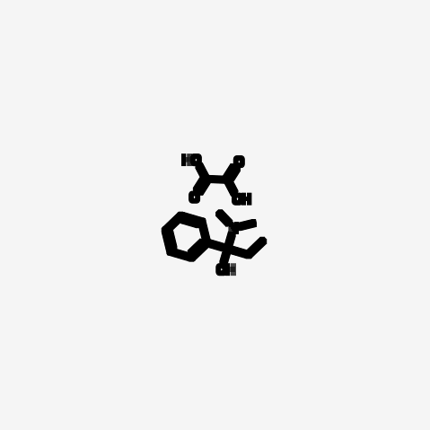 CCC(O)(c1ccccc1)N(C)C.O=C(O)C(=O)O